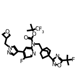 CC(C)(F)c1nc(C23CCC(CN(C(=O)OC(C)(C)C(F)(F)F)c4cc(-c5cnn(CC6COC6)c5)c(F)cn4)(CC2)C3)no1